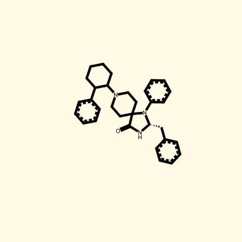 O=C1N[C@@H](Cc2ccccc2)N(c2ccccc2)C12CCN(C1CCCCC1c1ccccc1)CC2